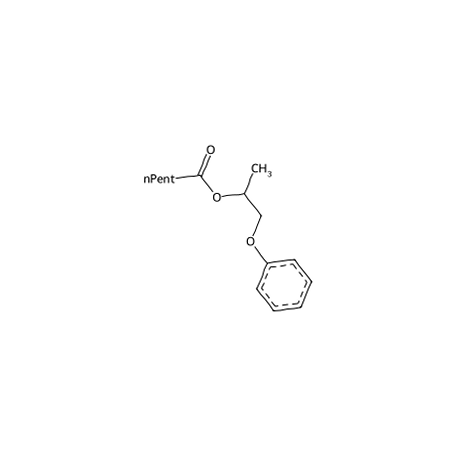 CCCCCC(=O)OC(C)COc1ccccc1